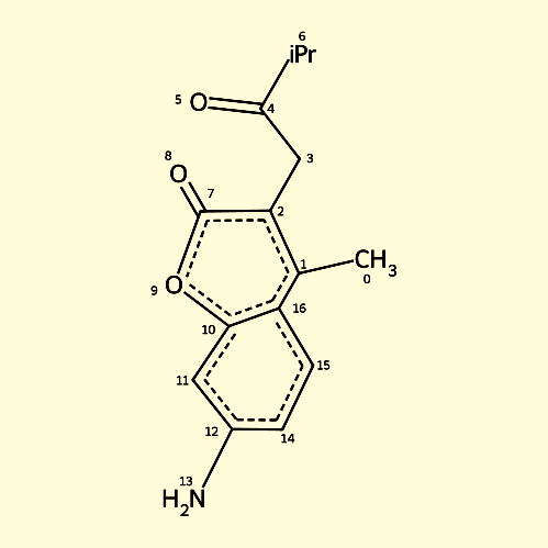 Cc1c(CC(=O)C(C)C)c(=O)oc2cc(N)ccc12